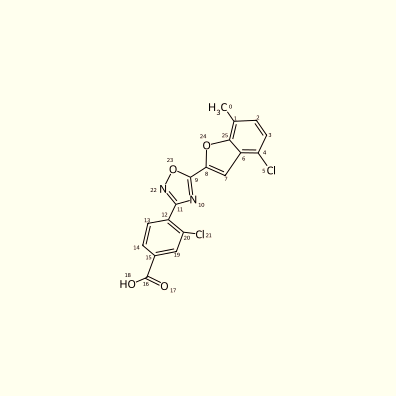 Cc1ccc(Cl)c2cc(-c3nc(-c4ccc(C(=O)O)cc4Cl)no3)oc12